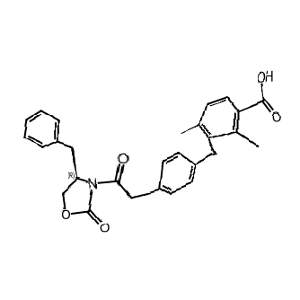 Cc1ccc(C(=O)O)c(C)c1Cc1ccc(CC(=O)N2C(=O)OC[C@H]2Cc2ccccc2)cc1